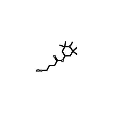 CCCCCCCCCCCCCC(=O)OC1CC(C)(C)N(C)C(C)(C)C1